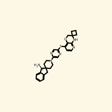 N[C@@H]1c2ccccc2CC12CCN(c1cnc(Sc3ccnc4c3OCC3(CCC3)N4)cn1)CC2